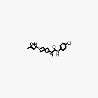 Cc1cc(N2CC3(CC([C@H](C)C(=O)Nc4ccc(Cl)cc4)C3)C2)no1